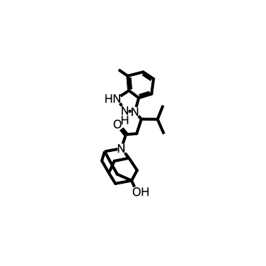 Cc1cccc2c1NNN2C(CC(=O)N1C2CC3CC1CC(O)(C3)C2)C(C)C